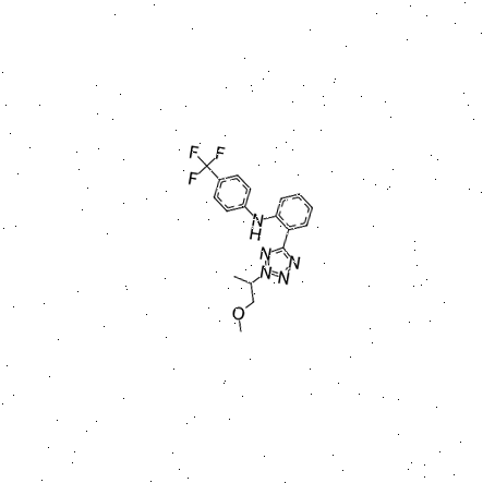 COCC(C)n1nnc(-c2ccccc2Nc2ccc(C(F)(F)F)cc2)n1